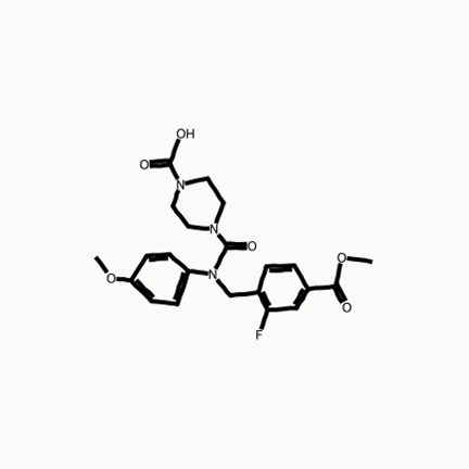 COC(=O)c1ccc(CN(C(=O)N2CCN(C(=O)O)CC2)c2ccc(OC)cc2)c(F)c1